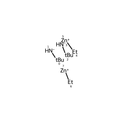 CC(C)(C)[NH-].CC(C)(C)[NH-].C[CH2][Zn+].C[CH2][Zn+]